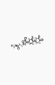 NC(=O)CC[C@H]1CN(c2ccc(N3CCC(=O)C(F)C3)c(F)c2)C(=O)O1